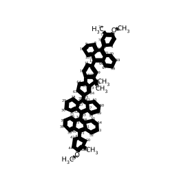 COc1ccc(-c2c3ccccc3c(-c3ccc4c(c3)C(C)(C)c3cc(-c5c6ccccc6c(-c6c7ccccc7c(-c7ccc(OC)c(C)c7)c7ccccc67)c6ccccc56)ccc3-4)c3ccccc23)cc1C